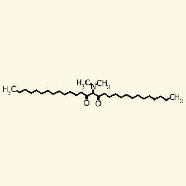 CCCCCCCCCCCCCC(=O)C(C(=O)CCCCCCCCCCCCC)N(C)C